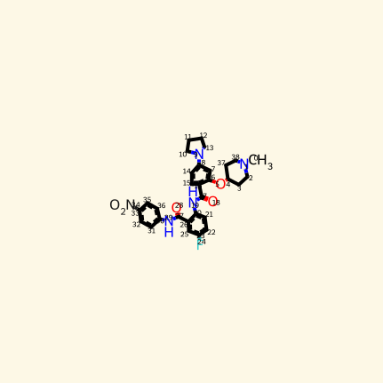 CN1CCC(Oc2cc(N3CCCC3)ccc2C(=O)Nc2ccc(F)cc2C(=O)Nc2ccc([N+](=O)[O-])cc2)CC1